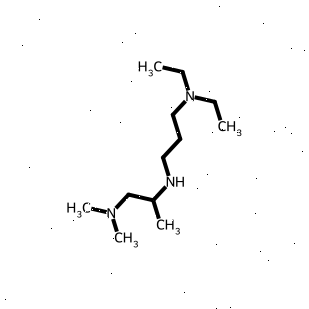 CCN(CC)CCCNC(C)CN(C)C